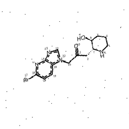 O=C(C[C@H]1NCCC[C@@H]1O)Cn1cnc2nc(Br)ccc21